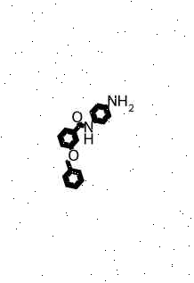 Nc1ccc(NC(=O)c2cccc(OCc3ccccc3)c2)cc1